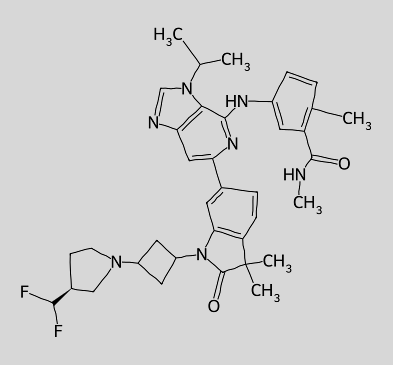 CNC(=O)c1cc(Nc2nc(-c3ccc4c(c3)N(C3CC(N5CC[C@H](C(F)F)C5)C3)C(=O)C4(C)C)cc3ncn(C(C)C)c23)ccc1C